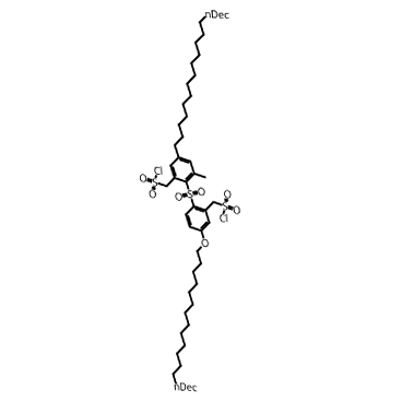 CCCCCCCCCCCCCCCCCCCCCCCOc1ccc(S(=O)(=O)c2c(C)cc(CCCCCCCCCCCCCCCCCCCCCCC)cc2CS(=O)(=O)Cl)c(CS(=O)(=O)Cl)c1